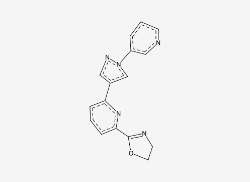 c1cncc(-n2cc(-c3cccc(C4=NCCO4)n3)cn2)c1